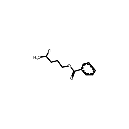 CC(Cl)CCCOC(=O)c1ccccc1